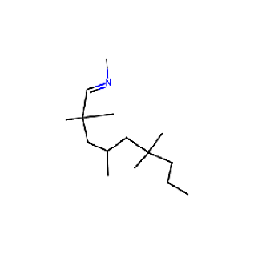 CCCC(C)(C)CC(C)CC(C)(C)/C=N/C